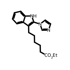 CCOC(=O)CCCCCc1c(-n2ccnc2)[nH]c2ccccc12